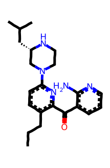 CCCc1ccc(N2CCN[C@@H](CC(C)C)C2)nc1C(=O)c1cccnc1N